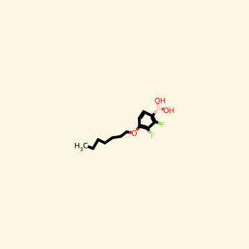 CCCCCCCOc1ccc(B(O)O)c(F)c1F